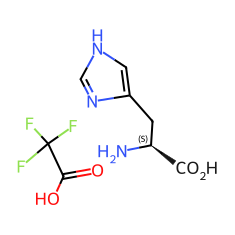 N[C@@H](Cc1c[nH]cn1)C(=O)O.O=C(O)C(F)(F)F